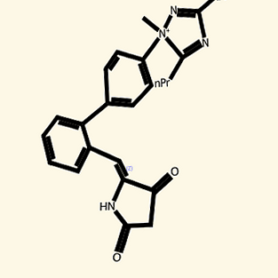 CCCC1=N[N+](C)(c2ccc(-c3ccccc3/C=C3\NC(=O)CC3=O)cc2)C(CCC)=N1